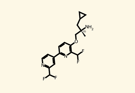 C[C@@](N)(COc1ccc(-c2ccnc(C(F)F)c2)nc1C(F)F)CC1CC1